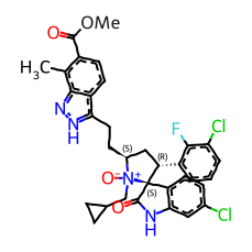 COC(=O)c1ccc2c(CC[C@H]3C[C@H](c4cccc(Cl)c4F)[C@]4(C(=O)Nc5cc(Cl)ccc54)[N+]3([O-])CC3CC3)[nH]nc2c1C